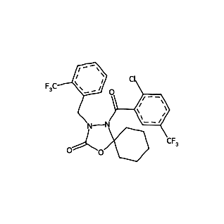 O=C1OC2(CCCCC2)N(C(=O)c2cc(C(F)(F)F)ccc2Cl)N1Cc1ccccc1C(F)(F)F